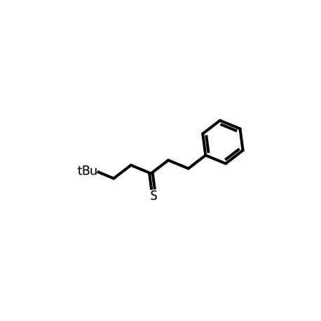 CC(C)(C)CCC(=S)CCc1ccccc1